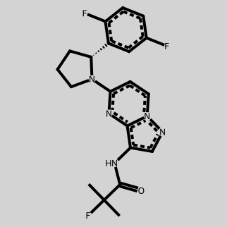 CC(C)(F)C(=O)Nc1cnn2ccc(N3CCC[C@@H]3c3cc(F)ccc3F)nc12